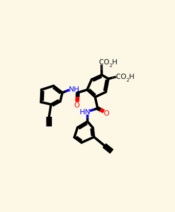 C#Cc1cccc(NC(=O)c2cc(C(=O)O)c(C(=O)O)cc2C(=O)Nc2cccc(C#C)c2)c1